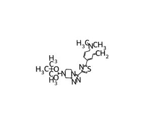 C=C/C=C(\C=C/CN(C)C)c1nc(-c2nnc3n2CCN(C(=O)OC(C)(C)C)C3)cs1